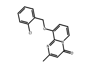 Cc1cc(=O)n2cccc(OCc3ccccc3Cl)c2n1